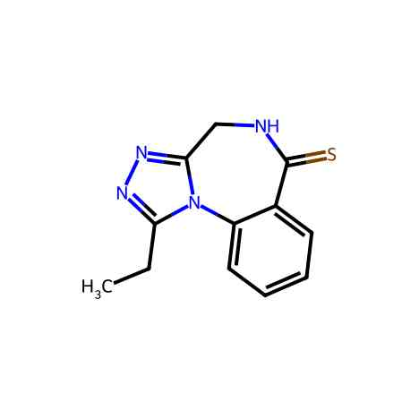 CCc1nnc2n1-c1ccccc1C(=S)NC2